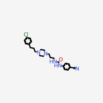 N#Cc1ccc(NC(=O)NCCCN2CCN(CCCc3ccc(Cl)cc3)CC2)cc1